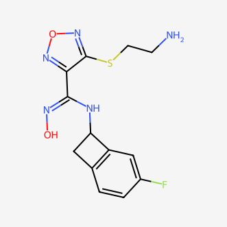 NCCSc1nonc1/C(=N/O)NC1Cc2ccc(F)cc21